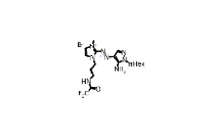 CCCCCCn1ncc(/N=N/c2n(CCCNC(=O)C(F)(F)F)cc[n+]2C)c1N.[Br-]